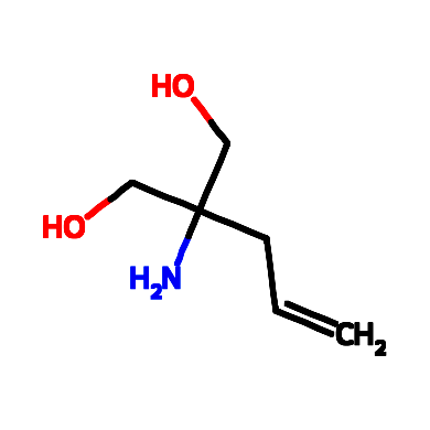 C=CCC(N)(CO)CO